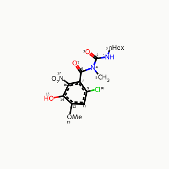 CCCCCCNC(=O)N(C)C(=O)c1c(Cl)cc(OC)c(O)c1[N+](=O)[O-]